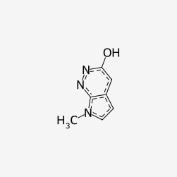 Cn1ccc2cc(O)nnc21